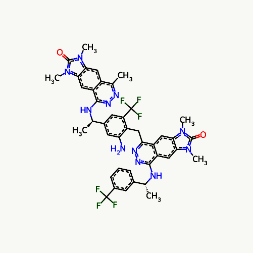 Cc1nnc(N[C@H](C)c2cc(N)c(Cc3nnc(N[C@H](C)c4cccc(C(F)(F)F)c4)c4cc5c(cc34)n(C)c(=O)n5C)c(C(F)(F)F)c2)c2cc3c(cc12)n(C)c(=O)n3C